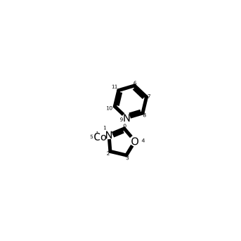 C1=NCCO1.[Co].c1ccncc1